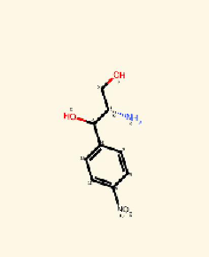 N[C@@H](CO)C(O)c1ccc([N+](=O)[O-])cc1